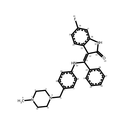 CN1CCN(Cc2ccc(NC(=C3C(=O)Nc4cc(F)ccc43)c3ccccc3)cc2)CC1